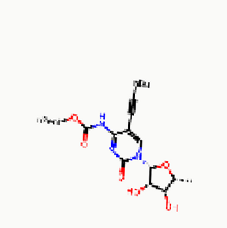 CCCCC#Cc1cn([C@@H]2O[C@H](C)[C@@H](O)[C@H]2O)c(=O)nc1NC(=O)OCCCCC